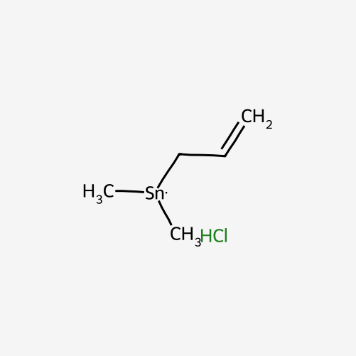 C=C[CH2][Sn]([CH3])[CH3].Cl